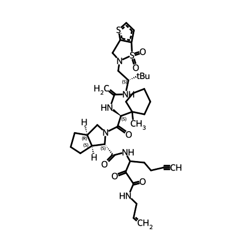 C#CCCC(NC(=O)[C@@H]1[C@H]2CCC[C@H]2CN1C(=O)[C@@H](NC(=C)N[C@H](CN1Cc2sccc2S1(=O)=O)C(C)(C)C)C1(C)CCCCC1)C(=O)C(=O)NCC=C